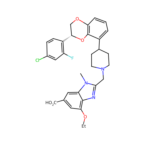 CCOc1cc(C(=O)O)cc2c1nc(CN1CCC(c3cccc4c3O[C@H](c3ccc(Cl)cc3F)CO4)CC1)n2C